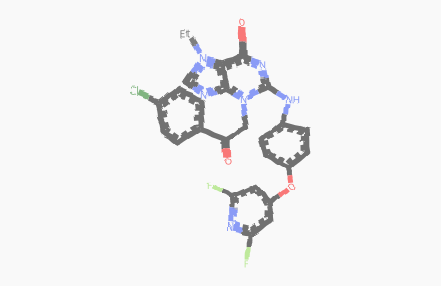 CCn1cnc2c1c(=O)nc(Nc1ccc(Oc3cc(F)nc(F)c3)cc1)n2CC(=O)c1ccc(Cl)cc1